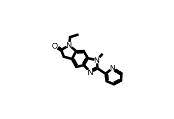 CCN1C(=O)Cc2cc3nc(-c4ccccn4)n(C)c3cc21